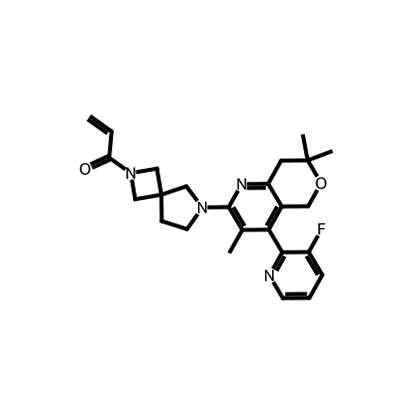 C=CC(=O)N1CC2(CCN(c3nc4c(c(-c5ncccc5F)c3C)COC(C)(C)C4)C2)C1